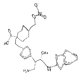 NCC(c1ccc(CC2(C(=O)O)CCC(CO[N+](=O)[O-])CC2)cc1)[C@H](O)Nc1cc2ccncc2s1